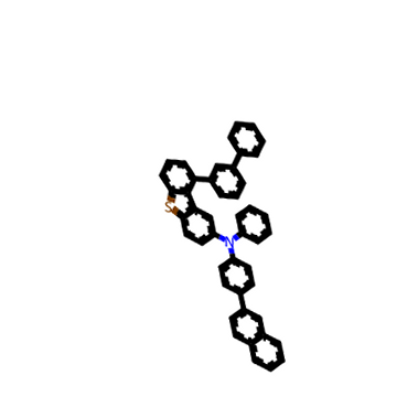 c1ccc(-c2cccc(-c3cccc4sc5ccc(N(c6ccccc6)c6ccc(-c7ccc8ccccc8c7)cc6)cc5c34)c2)cc1